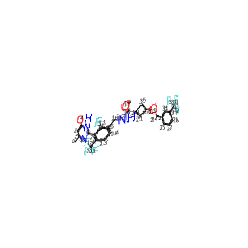 Cc1cc(=O)[nH]c(-c2c(C(F)(F)F)ccc(CNC(=O)[C@H]3C[C@H](OCc4cccc(C(F)(F)F)c4)C3)c2F)n1